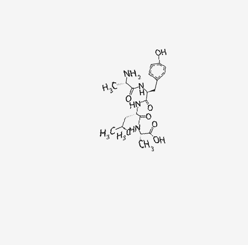 CC(C)C[C@H](NC(=O)[C@H](Cc1ccc(O)cc1)NC(=O)[C@H](C)N)C(=O)N[C@@H](C)C(=O)O